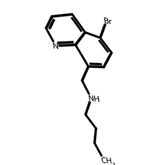 CCCCNCc1ccc(Br)c2cccnc12